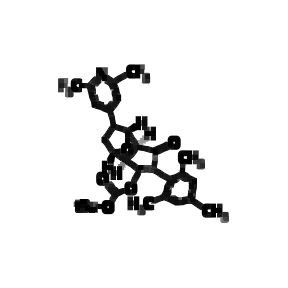 Cc1cc(C)c(C2=C(OC(=O)OC(C)(C)C)[C@@H]3[C@H](C2=O)[C@@H]2O[C@H]3CC2c2cc(C(F)(F)F)nc(C(F)(F)F)c2)c(C)c1